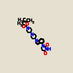 CC(C)(C)OC(=O)N1CCC(N2CCC(n3ccc4c(N5CCC(=O)NC5=O)cccc43)CC2)CC1